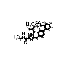 CCNC(=O)c1nc(Cc2ccc(-c3ccccc3-c3nnn[nH]3)cc2)n(CC(CC)CC)n1